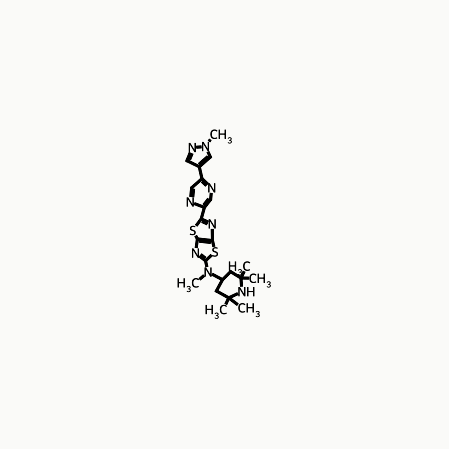 CN(c1nc2sc(-c3cnc(-c4cnn(C)c4)cn3)nc2s1)C1CC(C)(C)NC(C)(C)C1